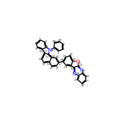 c1ccc(-n2c3ccccc3c3ccc4ccc(-c5ccc6oc7nc8ccccc8nc7c6c5)cc4c32)cc1